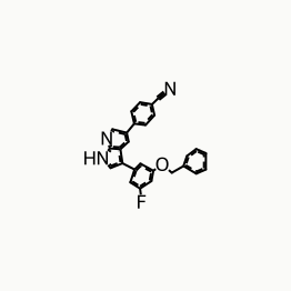 N#Cc1ccc(-c2cnc3[nH]cc(-c4cc(F)cc(OCc5ccccc5)c4)c3c2)cc1